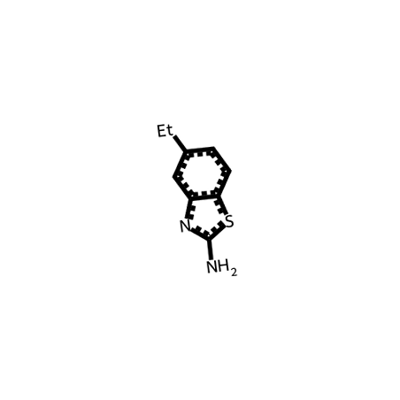 CCc1ccc2sc(N)nc2c1